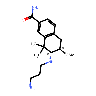 CO[C@@H]1Cc2ccc(C(N)=O)cc2C(C)(C)[C@H]1NCCCN